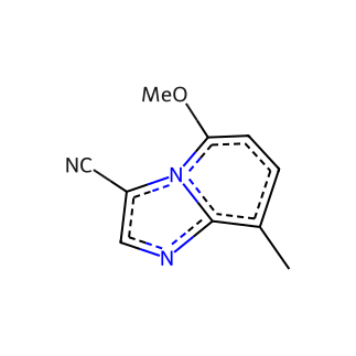 COc1ccc(C)c2ncc(C#N)n12